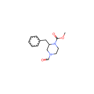 COC(=O)N1CCN([C]=O)CC1Cc1ccccc1